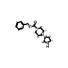 O=C(OCc1ccccc1)N1CCN([C@@H]2CCNC2)CC1